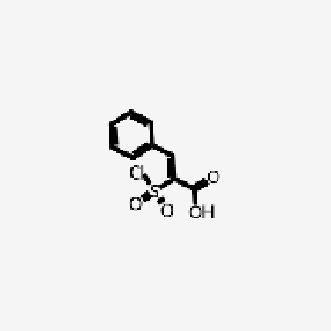 O=C(O)C(=Cc1ccccc1)S(=O)(=O)Cl